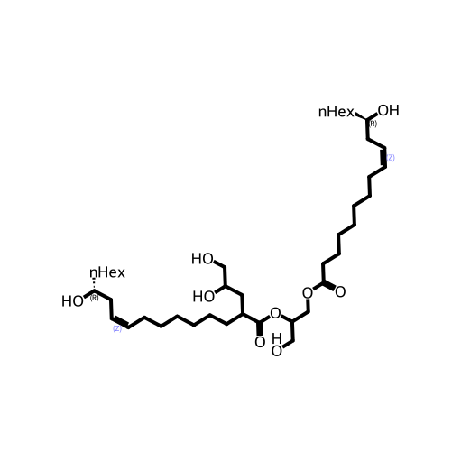 CCCCCC[C@@H](O)C/C=C\CCCCCCCC(=O)OCC(CO)OC(=O)C(CCCCCC/C=C\C[C@H](O)CCCCCC)CC(O)CO